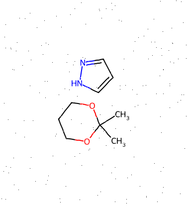 CC1(C)OCCCO1.c1cn[nH]c1